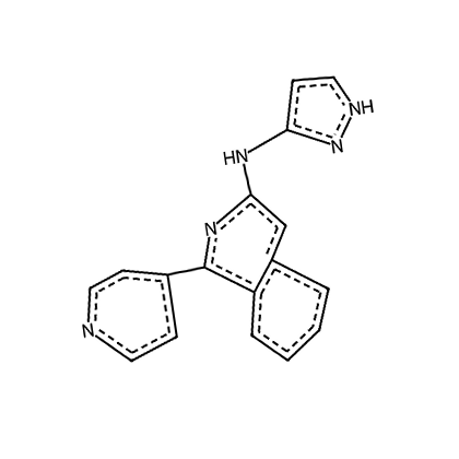 c1ccc2c(-c3ccncc3)nc(Nc3cc[nH]n3)cc2c1